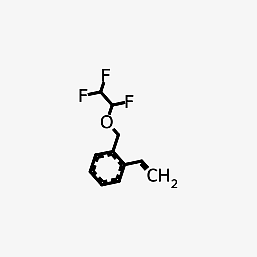 C=Cc1ccccc1COC(F)C(F)F